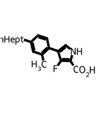 CCCCCCCc1ccc(-c2c[nH]c(C(=O)O)c2F)c(C)c1